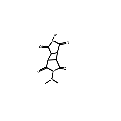 CC(C)N1C(=O)C2C(C1=O)C1C(=O)N(N(C)C)C(=O)C21